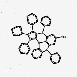 CC(C)(C)c1cc2c3c(c1)N(c1ccccc1)c1c(-c4ccccc4)c(-c4ccccc4)n(-c4ccccc4)c1B3c1ccccc1N2c1ccccc1